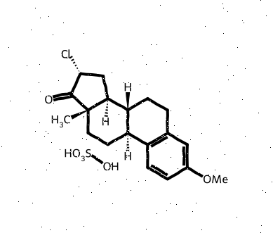 COc1ccc2c(c1)CC[C@@H]1[C@@H]2CC[C@]2(C)C(=O)[C@H](Cl)C[C@@H]12.O=S(=O)(O)O